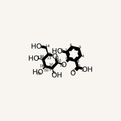 O=C(O)c1cccc(O)c1O[C@@H]1O[C@H](CO)[C@@H](O)[C@H](O)[C@H]1O